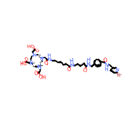 O=C(O)CN1CCN(CC(=O)O)CCN(CC(=O)NCCCCCCC(=O)NCCCCC(=O)NCc2ccc(C(=O)NCc3ccc(Br)nc3)cc2)CCN(CC(=O)O)CC1